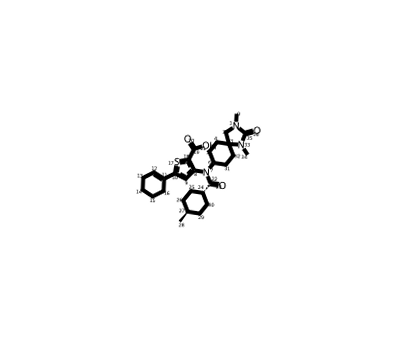 CN1CC2(CCC(N(c3cc(C4=CCCCC4)sc3C(=O)O)C(=O)[C@H]3CC[C@H](C)CC3)CC2)N(C)C1=O